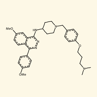 COc1ccc(-c2nnc(NC3CCN(Cc4ccc(OCCCN(C)C)cc4)CC3)c3cc(OC)ccc23)cc1